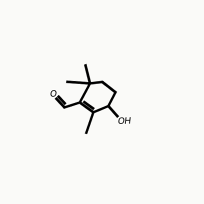 CC1=C(C=O)C(C)(C)CCC1O